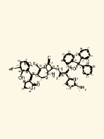 Nc1nc(C(=NOC(c2ccccc2)(c2ccccc2)c2ccccc2)C(=O)N[C@@H]2C(=O)N3C(C(=O)O)=C(C(=C4CCNC4=O)c4cccc(F)c4O)CS[C@H]23)cs1